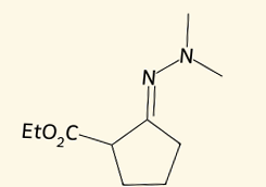 CCOC(=O)C1CCC/C1=N\N(C)C